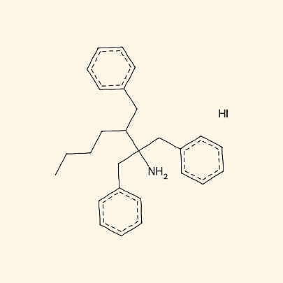 CCCCC(Cc1ccccc1)C(N)(Cc1ccccc1)Cc1ccccc1.I